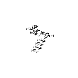 C=C(C)C(=O)O.C=C(C)C(=O)O.C=C(C)C(=O)O.C=C(C)C(=O)O.C=C(C)C(=O)O.C=C(C)C(=O)O.OCC(CO)(CO)CO.Oc1ccc(O)cc1